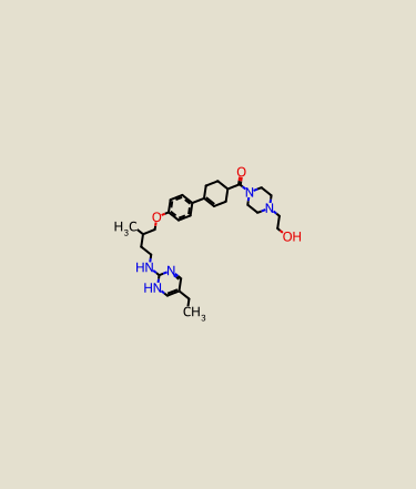 CCC1=CNC(NCCC(C)COc2ccc(C3=CCC(C(=O)N4CCN(CCO)CC4)CC3)cc2)N=C1